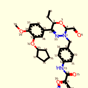 CC[C@H]1OC(C=O)N(Cc2ccc(NC(=O)c3ccno3)cc2)N=C1c1ccc(OC)c(OC2CCCC2)c1